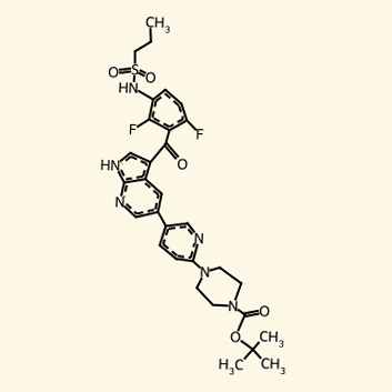 CCCS(=O)(=O)Nc1ccc(F)c(C(=O)c2c[nH]c3ncc(-c4ccc(N5CCN(C(=O)OC(C)(C)C)CC5)nc4)cc23)c1F